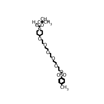 Cc1ccc(S(=O)(=O)OCCOCCOCCOCCOCCOC2CCN(C(=O)OC(C)(C)C)CC2)cc1